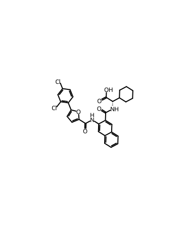 O=C(Nc1cc2ccccc2cc1C(=O)N[C@H](C(=O)O)C1CCCCC1)c1ccc(-c2ccc(Cl)cc2Cl)o1